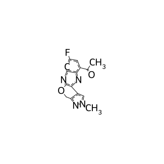 CC(=O)c1cc(F)cc2nc3c(nc12)-c1cn(C)nc1CO3